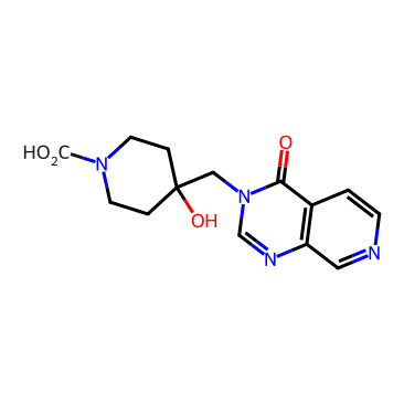 O=C(O)N1CCC(O)(Cn2cnc3cnccc3c2=O)CC1